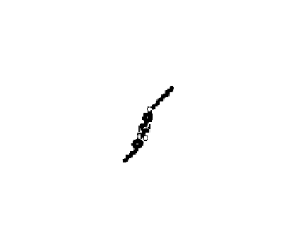 CCCCCCCCCCOc1ccc(-c2cnc(C(=O)Oc3ccc(CCCCCC)cc3)cn2)cc1